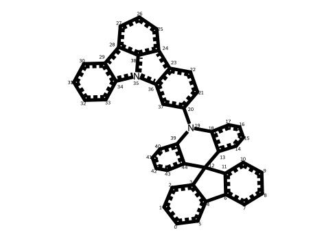 c1ccc2c(c1)-c1ccccc1C21c2ccccc2N(c2ccc3c4cccc5c6ccccc6n(c3c2)c54)c2ccccc21